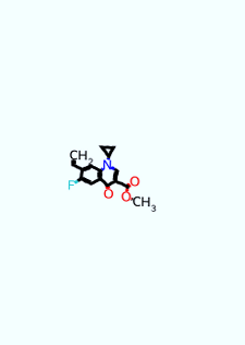 C=Cc1cc2c(cc1F)c(=O)c(C(=O)OC)cn2C1CC1